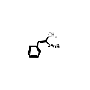 CCCCSC(C)=Cc1ccccc1